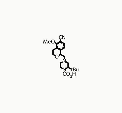 COc1c(C#N)ccc2c1CCOC2CN1CCN(C(=O)O)C(C(C)(C)C)C1